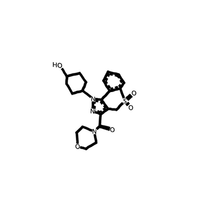 O=C(c1nn(C2CCC(O)CC2)c2c1CS(=O)(=O)c1ccccc1-2)N1CCOCC1